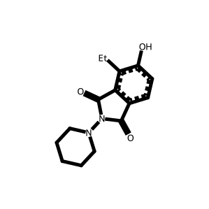 CCc1c(O)ccc2c1C(=O)N(N1CCCCC1)C2=O